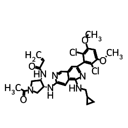 C=CC(=O)N[C@H]1CN(C(C)=O)C[C@H]1Nc1cc2c(NCC3CC3)nc(-c3c(Cl)c(OC)cc(OC)c3Cl)cc2cn1